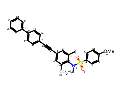 COc1ccc(S(=O)(=O)N(C)c2c(C)cc(C#Cc3ccc(-c4ccccc4)cc3)cc2C(=O)O)cc1